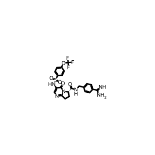 N=C(N)c1ccc(CNC(=O)[C@@H]2CCc3ncc(NS(=O)(=O)c4ccc(OC(F)(F)F)cc4)c(=O)n32)cc1